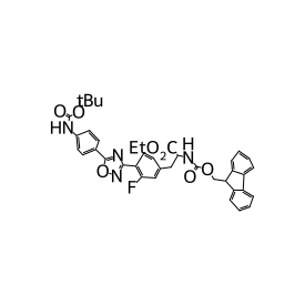 CCOC(=O)C(Cc1ccc(-c2noc(-c3ccc(NC(=O)OC(C)(C)C)cc3)n2)c(F)c1)NC(=O)OCC1c2ccccc2-c2ccccc21